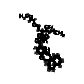 C=CC[C@H](C)[C@H](CCOCCOC)S(=O)(=O)NC(=O)c1ccc2c(c1)NCC1(CCCc3ccccc31)CO2